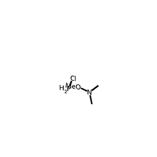 CON(C)C.PCl